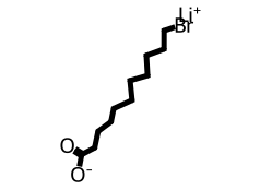 O=C([O-])CCCCCCCCCCBr.[Li+]